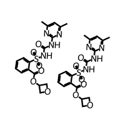 Cc1cc(C)nc(NC(=O)NS(=O)(=O)c2ccccc2C(=O)OC2COC2)n1.Cc1cc(C)nc(NC(=O)NS(=O)(=O)c2ccccc2C(=O)OC2COC2)n1